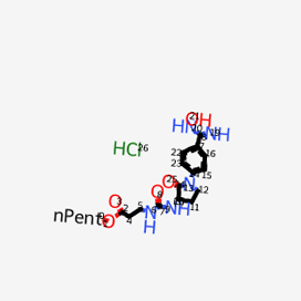 CCCCCOC(=O)CCNC(=O)N[C@H]1CCN(c2ccc(C(=N)NO)cc2)C1=O.Cl